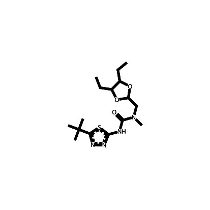 CCC1OC(CN(C)C(=O)Nc2nnc(C(C)(C)C)s2)OC1CC